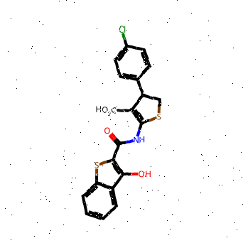 O=C(O)C1=C(NC(=O)c2sc3ccccc3c2O)SCC1c1ccc(Cl)cc1